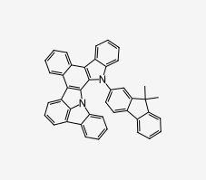 CC1(C)c2ccccc2-c2ccc(-n3c4ccccc4c4c5ccccc5c5c6cccc7c8ccccc8n(c76)c5c43)cc21